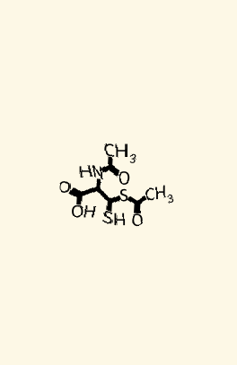 CC(=O)NC(C(=O)O)C(S)SC(C)=O